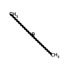 CCCCCCCCCCCCCCCCCCCCCCC(=O)CCCCCCCCCCCCCCCCCCCCCC